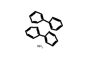 N.c1ccc(-c2ccccc2)cc1.c1ccc(-c2ccccc2)cc1